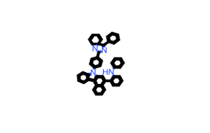 C1=CC2N3C(c4ccc(-n5c6ccccc6c6c7ccccc7c(-c7ccccc7Nc7ccccc7)cc65)cc4)N=C(c4ccccc4)C23C=C1